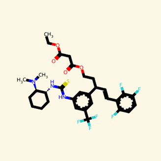 CCOC(=O)CC(=O)OCCC(/C=C/c1c(F)ccc(F)c1F)c1cc(NC(=S)N[C@@H]2CCCC[C@H]2N(C)C)cc(C(F)(F)F)c1